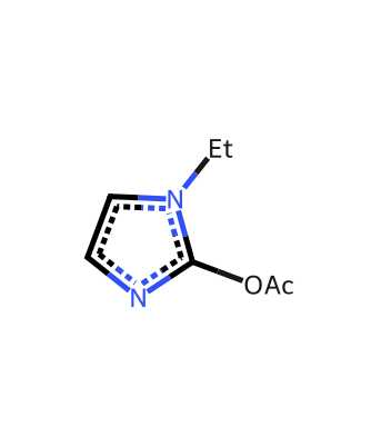 CCn1ccnc1OC(C)=O